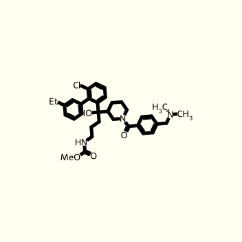 CCc1cccc(-c2c(Cl)cccc2C(O)(CCCNC(=O)OC)C2CCCN(C(=O)c3ccc(CN(C)C)cc3)C2)c1